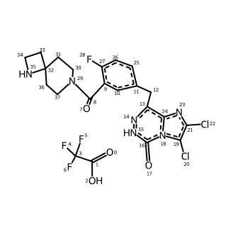 O=C(O)C(F)(F)F.O=C(c1cc(Cc2n[nH]c(=O)n3c(Cl)c(Cl)nc23)ccc1F)N1CCC2(CCN2)CC1